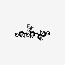 COc1ccc(COc2ncc(Cc3ccnc4cc(OC)cnc34)cc2OC(F)F)nc1